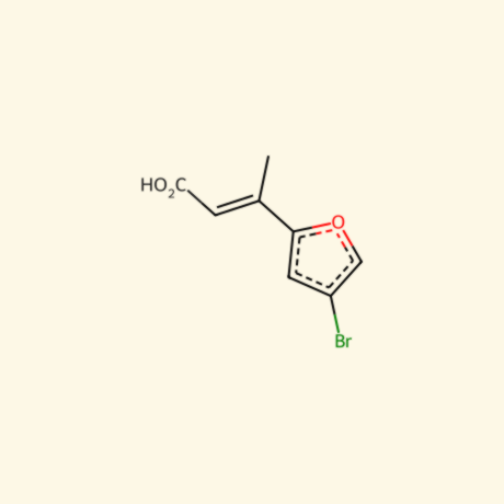 CC(=CC(=O)O)c1cc(Br)co1